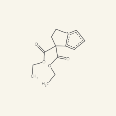 CCOC(=O)C1(C(=O)OCC)CCn2cccc21